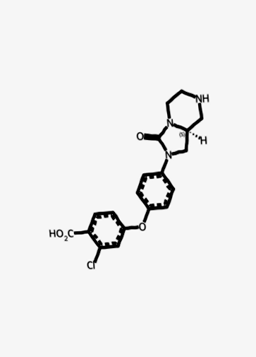 O=C(O)c1ccc(Oc2ccc(N3C[C@@H]4CNCCN4C3=O)cc2)cc1Cl